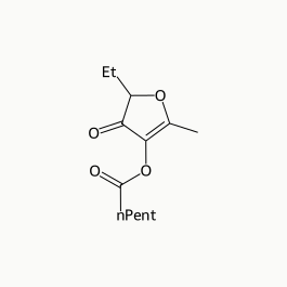 CCCCCC(=O)OC1=C(C)OC(CC)C1=O